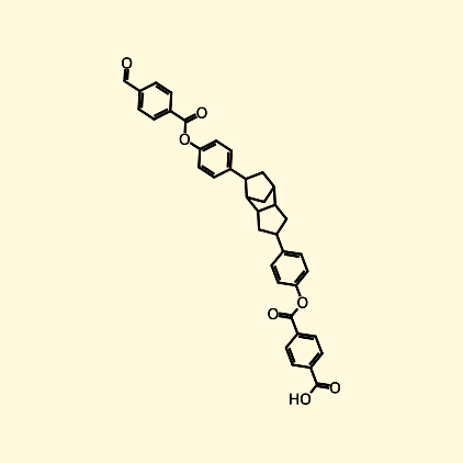 O=Cc1ccc(C(=O)Oc2ccc(C3CC4CC3C3CC(c5ccc(OC(=O)c6ccc(C(=O)O)cc6)cc5)CC43)cc2)cc1